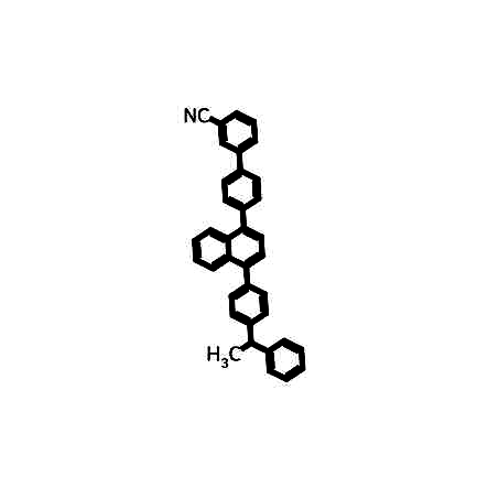 CC(c1ccccc1)c1ccc(-c2ccc(-c3ccc(-c4cccc(C#N)c4)cc3)c3ccccc23)cc1